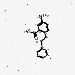 Nc1ccc(CCc2ccccc2)c(C(=O)O)c1